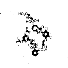 C#CCOc1cc(-n2nc3n(c2=O)CCCC3)c(Cl)cc1Cl.O=C(Nc1nc(OC(F)F)cc(OC(F)F)n1)NS(=O)(=O)c1ccccc1C(=O)O.O=C(O)CNCP(=O)(O)O